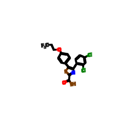 O=C(S)c1nc(-c2ccc(Cl)cc2Cl)c(-c2ccc(OCCC(F)(F)F)cc2)s1